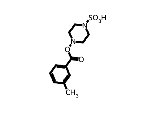 Cc1cccc(C(=O)ON2CCN(S(=O)(=O)O)CC2)c1